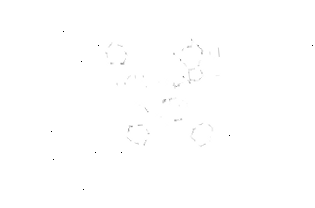 O=C(OC[C@H]1O[C@@H](n2cc(F)c3c(Cl)ncnc32)[C@H](OC(=O)c2ccccc2)[C@@H]1OC(=O)c1ccccc1)c1ccccc1